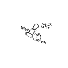 COc1ccccc1[S+](c1ccc(C)cc1)c1ccccc1OC.O=S(=O)([O-])C(F)(F)F